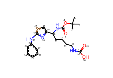 CC(C)(C)OC(=O)NC(CCCCNC(=O)O)c1csc(Nc2ccccc2)n1